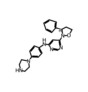 c1ccc([C@H]2CCON2c2cc(Nc3ccc(N4CCNCC4)cc3)ncn2)cc1